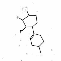 CC1CC=C(C2CCC(O)C(F)C2F)CC1